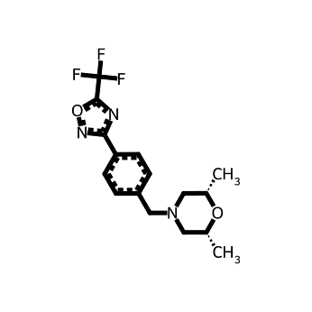 C[C@@H]1CN(Cc2ccc(-c3noc(C(F)(F)F)n3)cc2)C[C@H](C)O1